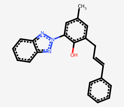 Cc1cc(C/C=C/c2ccccc2)c(O)c(-n2nc3ccccc3n2)c1